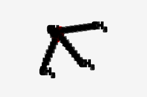 CCCCCCCCCCCCCCCCOc1cc(CC)cc(OCCCCCCCCCCCCCCCC)c1OCCCCCCCCCCCCCCCC